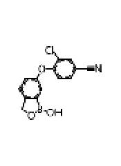 N#Cc1ccc(Oc2ccc3c(c2)B(O)OC3)c(Cl)c1